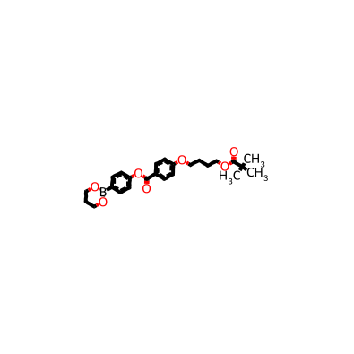 CC(C)(C)C(=O)OCCCCOc1ccc(C(=O)Oc2ccc(B3OCCCO3)cc2)cc1